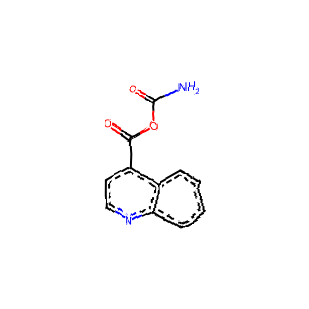 NC(=O)OC(=O)c1ccnc2ccccc12